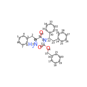 N[C@@H](Cc1ccccc1)C(=O)N(C(=O)OCc1ccccc1)C([CH]c1ccccc1)c1ccccc1